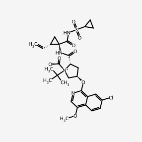 C=C[C@@H]1C[C@]1(NC(=O)[C@@H]1C[C@@H](Oc2ncc(OC)c3ccc(Cl)cc23)C[N+]1(C(=O)[O-])C(C)(C)C)C(=O)NS(=O)(=O)C1CC1